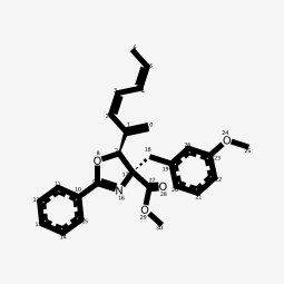 C=C(/C=C\C=C/C)[C@@H]1OC(c2ccccc2)=N[C@]1(Cc1cccc(OC)c1)C(=O)OC